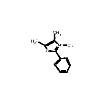 Cc1oc(-c2ccccc2)[n+](O)c1C